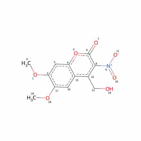 COc1cc2oc(=O)c([N+](=O)[O-])c(CO)c2cc1OC